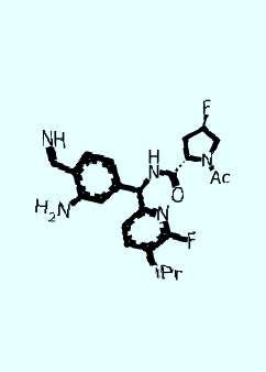 CC(=O)N1C[C@H](F)C[C@H]1C(=O)NC(c1ccc(C=N)c(N)c1)c1ccc(C(C)C)c(F)n1